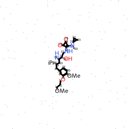 COCCCOc1cc(C[C@@H](C[C@H](N)[C@@H](O)CNc2c(N(C)C3CC3)c(=O)c2=O)C(C)C)ccc1OC